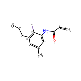 C=CC(=O)Nc1cc(C)cc(CCC)c1I